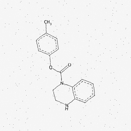 Cc1ccc(OC(=O)N2CCNc3ccccc32)cc1